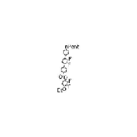 CCCCCc1ccc(-c2ccc(-c3ccc(C(=O)Oc4ccc(OCC)c(F)c4F)cc3)c(F)c2F)cc1